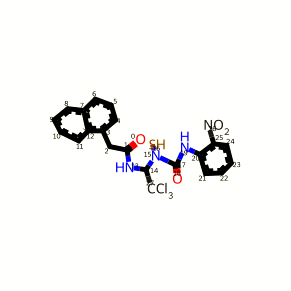 O=C(Cc1cccc2ccccc12)NC(N(S)C(=O)Nc1ccccc1[N+](=O)[O-])C(Cl)(Cl)Cl